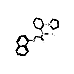 CN(C(=O)COc1cccc2ccccc12)[C@H]1CCCC[C@@H]1N1CCCC1